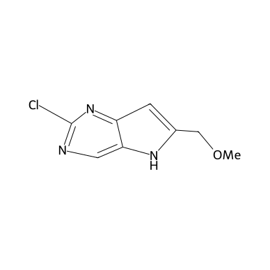 COCc1cc2nc(Cl)ncc2[nH]1